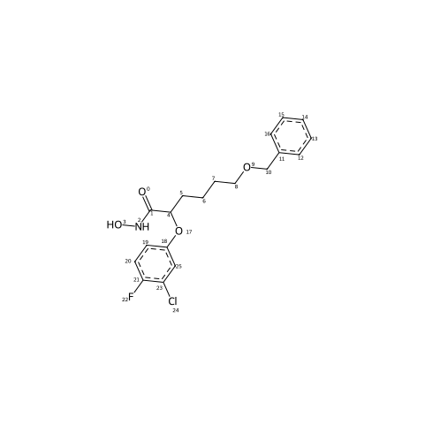 O=C(NO)C(CCCCOCc1ccccc1)Oc1ccc(F)c(Cl)c1